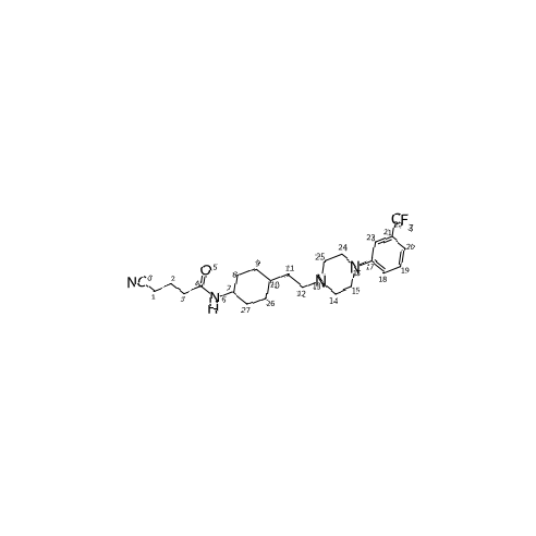 N#CCCCC(=O)NC1CCC(CCN2CCN(c3cccc(C(F)(F)F)c3)CC2)CC1